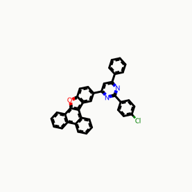 Clc1ccc(-c2nc(-c3ccccc3)cc(-c3ccc4oc5c6ccccc6c6ccccc6c5c4c3)n2)cc1